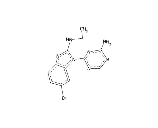 CCNc1nc2ccc(Br)cc2n1-c1ncnc(N)n1